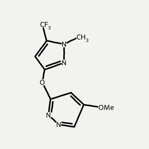 COc1cnnc(Oc2cc(C(F)(F)F)n(C)n2)c1